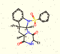 CCC[C@]12C[C@H]3C(=O)NC(CC)C(=O)N3[C@H]1N(S(=O)(=O)c1ccccc1)c1ccccc12